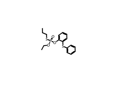 CCCSP(=O)(OCC)Oc1ccccc1Sc1ccccc1